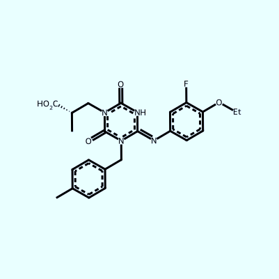 CCOc1ccc(/N=c2\[nH]c(=O)n(C[C@H](C)C(=O)O)c(=O)n2Cc2ccc(C)cc2)cc1F